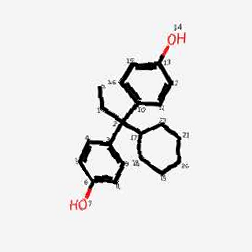 CCC(c1ccc(O)cc1)(c1ccc(O)cc1)C1CCCCC1